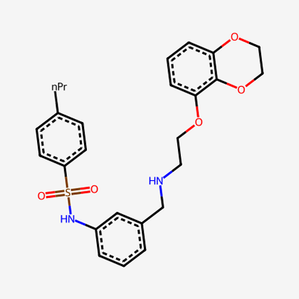 CCCc1ccc(S(=O)(=O)Nc2cccc(CNCCOc3cccc4c3OCCO4)c2)cc1